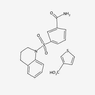 NC(=O)c1cccc(S(=O)(=O)N2CCCc3ccccc32)c1.O=C(O)c1ccsc1